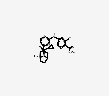 CNC(=O)c1ncc(Nc2nccc(N3CC4CC[C@@H](C3)N4C(=O)C3CC3)n2)cc1Cl